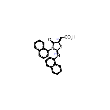 O=C(O)/C=C1\S/C(=N/c2cccc3ccccc23)N(c2cccc3ccccc23)C1=O